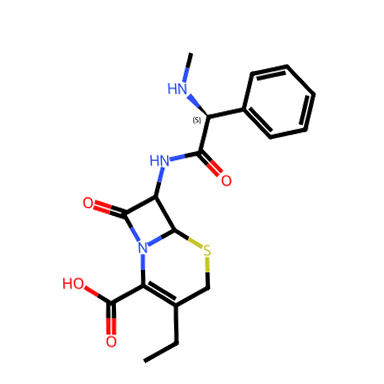 CCC1=C(C(=O)O)N2C(=O)C(NC(=O)[C@@H](NC)c3ccccc3)C2SC1